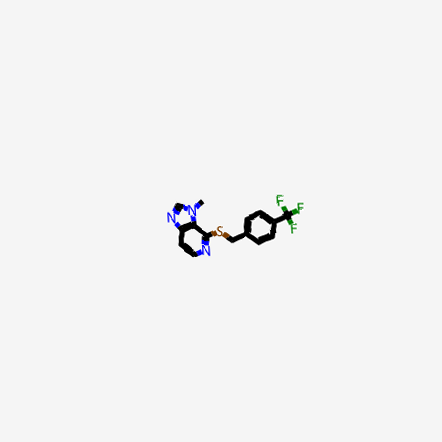 Cn1cnc2ccnc(SCc3ccc(C(F)(F)F)cc3)c21